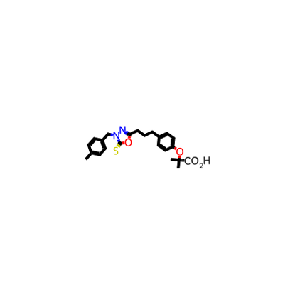 Cc1ccc(Cn2nc(CCCc3ccc(OC(C)(C)C(=O)O)cc3)oc2=S)cc1